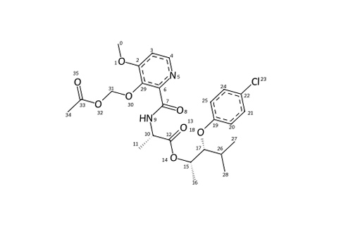 COc1ccnc(C(=O)N[C@@H](C)C(=O)O[C@@H](C)[C@H](Oc2ccc(Cl)cc2)C(C)C)c1OCOC(C)=O